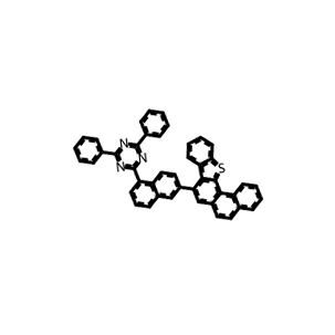 c1ccc(-c2nc(-c3ccccc3)nc(-c3cccc4cc(-c5cc6ccc7ccccc7c6c6sc7ccccc7c56)ccc34)n2)cc1